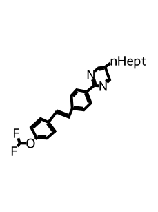 CCCCCCCc1cnc(-c2ccc(C=Cc3ccc(OC(F)F)cc3)cc2)nc1